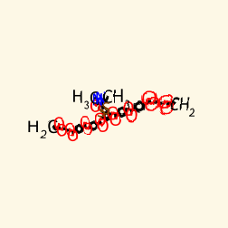 C=CC(=O)OCCOC(=O)C1CCC(C(=O)OC2CCC(C(=O)Oc3ccc(OC(=O)C4CCC(OC(=O)C5CCC(C(=O)OCCOC(=O)C=C)CC5)CC4)c4c3SC(=C3C(=O)N(C)N=C3CC)S4)CC2)CC1